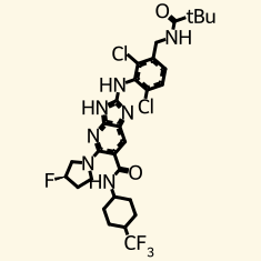 CC(C)(C)C(=O)NCc1ccc(Cl)c(Nc2nc3cc(C(=O)NC4CCC(C(F)(F)F)CC4)c(N4CC[C@@H](F)C4)nc3[nH]2)c1Cl